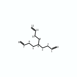 C=CCC[C](CCC=C)CCC=C